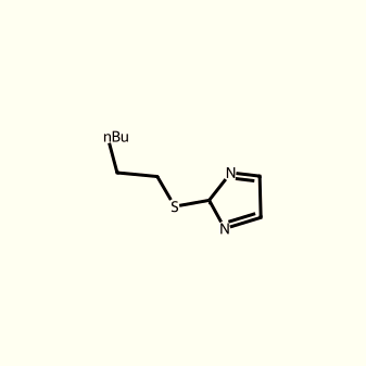 CCCCCCS[C]1N=CC=N1